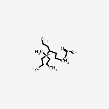 CCCC(CCC)[N+](C)(CCC)CCC.O=[PH](O)O